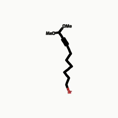 COC(C#CCCCCCCBr)OC